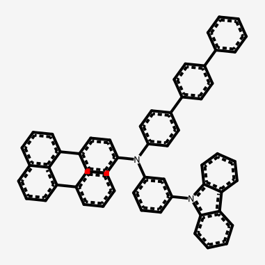 c1ccc(-c2ccc(-c3ccc(N(c4ccc(-c5cccc6cccc(-c7ccccc7)c56)cc4)c4cccc(-n5c6ccccc6c6ccccc65)c4)cc3)cc2)cc1